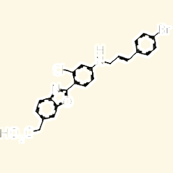 O=C(O)Cc1ccc2nc(-c3ccc(NCC=Cc4ccc(Br)cc4)cc3Cl)oc2c1